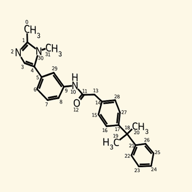 Cc1ncc(-c2cccc(NC(=O)Cc3ccc(C(C)(C)c4ccccc4)cc3)c2)n1C